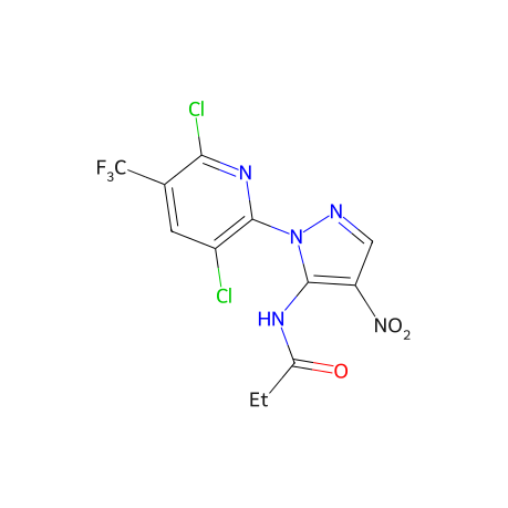 CCC(=O)Nc1c([N+](=O)[O-])cnn1-c1nc(Cl)c(C(F)(F)F)cc1Cl